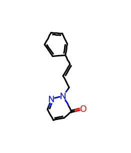 O=c1cccnn1C/C=C/c1ccccc1